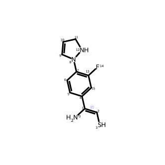 N/C(=C\S)c1ccc(N2C=CCN2)c(F)c1